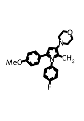 COc1ccc(-c2cc(N3CCOCC3)c(C)n2-c2ccc(F)cc2)cc1